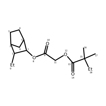 CCC1C2CCC(C2)C1OC(=O)COC(=O)C(C)(C)CC